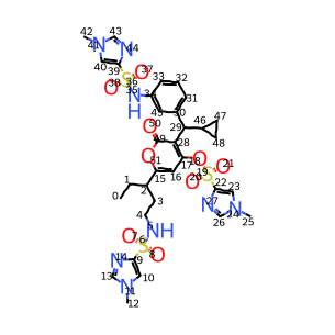 CCC(CCNS(=O)(=O)c1cn(C)cn1)c1cc(OS(=O)(=O)c2cn(C)cn2)c(C(c2cccc(NS(=O)(=O)c3cn(C)cn3)c2)C2CC2)c(=O)o1